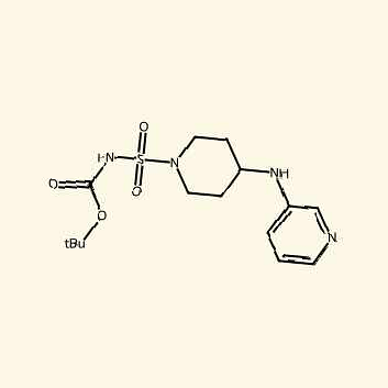 CC(C)(C)OC(=O)NS(=O)(=O)N1CCC(Nc2cccnc2)CC1